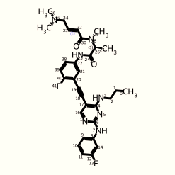 CCCNc1nc(Nc2cccc(F)c2)ncc1C#Cc1cc(NC(=O)[C@H](C)N(C)C(=O)/C=C/CN(C)C)ccc1F